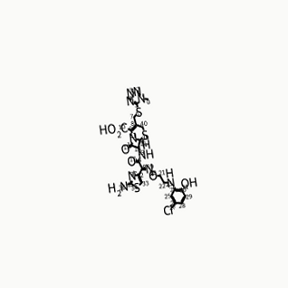 Cn1nnnc1SCC1=C(C(=O)O)N2C(=O)C(NC(=O)C(=NOCCNc3cc(Cl)ccc3O)c3csc(N)n3)[C@@H]2SC1